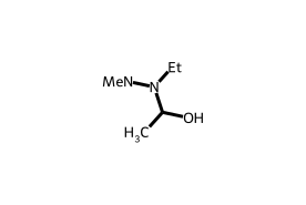 CCN(NC)C(C)O